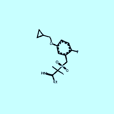 CCC(=N)C(C)(C)S(=O)(=O)Cc1cc(OCC2CC2)ccc1F